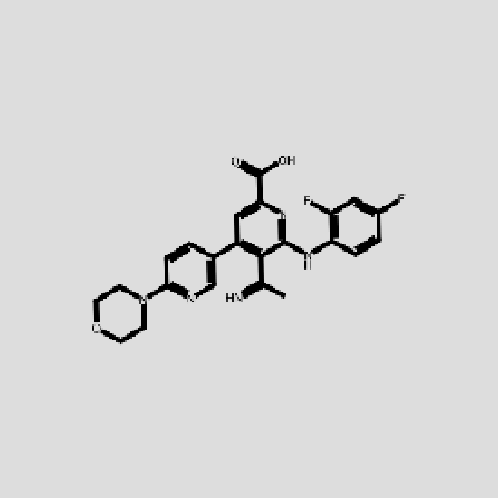 CC(=N)c1c(-c2ccc(N3CCOCC3)nc2)cc(C(=O)O)nc1Nc1ccc(F)cc1F